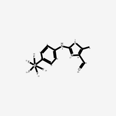 Cc1sc(Nc2ccc(S(F)(F)(F)(F)F)cc2)nc1C=O